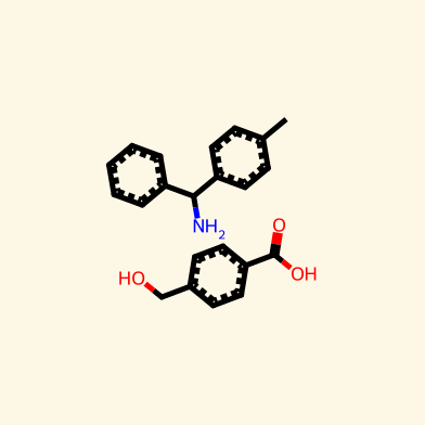 Cc1ccc(C(N)c2ccccc2)cc1.O=C(O)c1ccc(CO)cc1